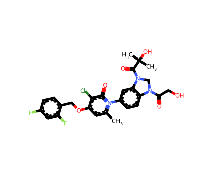 Cc1cc(OCc2ccc(F)cc2F)c(Cl)c(=O)n1-c1ccc2c(c1)N(C(=O)C(C)(C)O)CN2C(=O)CO